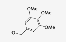 COc1cc(C[O])cc(OC)c1OC